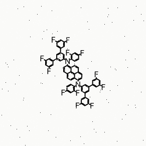 Fc1cc(F)cc(-c2cc(-c3cc(F)cc(F)c3)cc(N(c3ccc(F)cc3F)c3ccc4ccc5c(N(c6cc(-c7cc(F)cc(F)c7)cc(-c7cc(F)cc(F)c7)c6)c6ccc(F)cc6F)ccc6ccc3c4c65)c2)c1